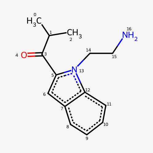 CC(C)C(=O)c1cc2ccccc2n1CCN